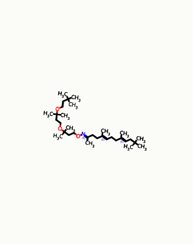 C/C(=C\CC(C)(C)C)CC/C=C(\C)CC/C(C)=N/OCCC(C)(C)OCCC(C)(C)OCCC(C)(C)C